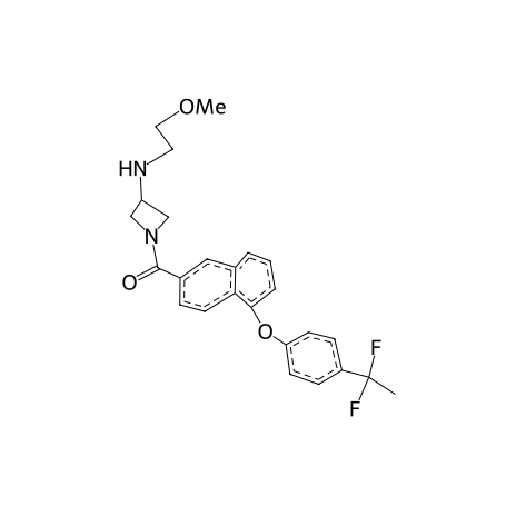 COCCNC1CN(C(=O)c2ccc3c(Oc4ccc(C(C)(F)F)cc4)cccc3c2)C1